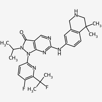 CC(C)n1c(=O)c2cnc(Nc3ccc4c(c3)CNCC4(C)C)nc2n1-c1ccc(F)c(C(C)(C)F)n1